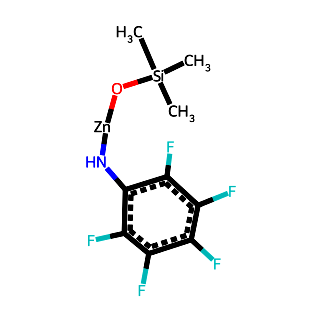 C[Si](C)(C)[O][Zn][NH]c1c(F)c(F)c(F)c(F)c1F